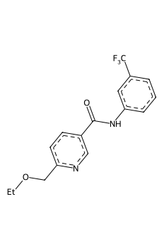 CCOCc1ccc(C(=O)Nc2cccc(C(F)(F)F)c2)cn1